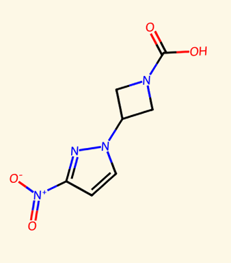 O=C(O)N1CC(n2ccc([N+](=O)[O-])n2)C1